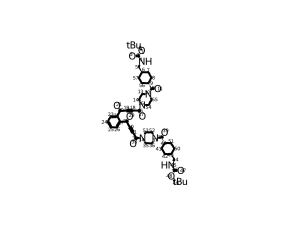 CC(C)(C)OC(=O)NC[C@H]1CC[C@H](C(=O)N2CCN(C(=O)C#CC(=O)c3ccccc3C(=O)C#CC(=O)N3CCN(C(=O)[C@H]4CC[C@H](CNC(=O)OC(C)(C)C)CC4)CC3)CC2)CC1